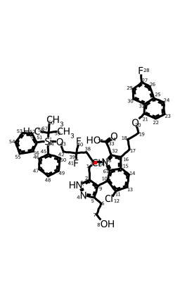 CCc1[nH]nc(CCO)c1-c1c(Cl)ccc2c(CCCOc3cccc4cc(F)ccc34)c(C(=O)O)n(CCC(F)(F)CO[Si](c3ccccc3)(c3ccccc3)C(C)(C)C)c12